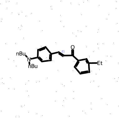 CCCCN(CCCC)c1ccc(/C=C/C(=O)c2cccc(CC)c2)cc1